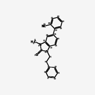 Cn1c(=O)n(CCc2ccccc2)c2ccc(-c3ccccc3C#N)cc21